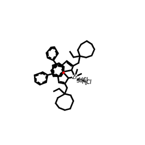 CCC1(CC2=Cc3c(-c4ccccc4)cccc3[CH]2[Zr]([CH3])([CH3])(=[SiH2])[CH]2C(CC3(CC)CCCCCCC3)=Cc3c(-c4ccccc4)cccc32)CCCCCCC1.Cl.Cl